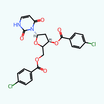 O=C(OCC1O[C@H](n2c(=O)cc[nH]c2=O)C[C@H]1OC(=O)c1ccc(Cl)cc1)c1ccc(Cl)cc1